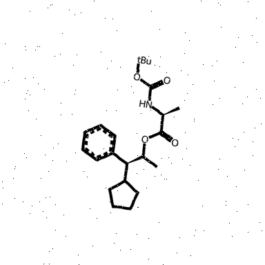 CC(OC(=O)[C@H](C)NC(=O)OC(C)(C)C)[C@H](c1ccccc1)C1CCCC1